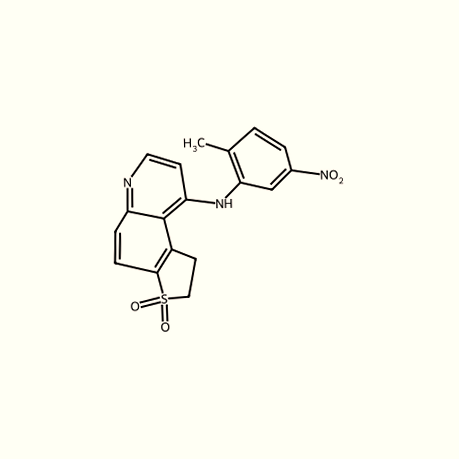 Cc1ccc([N+](=O)[O-])cc1Nc1ccnc2ccc3c(c12)CCS3(=O)=O